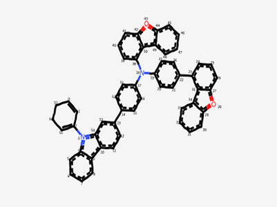 C1=CC(n2c3ccccc3c3ccc(-c4ccc(N(c5ccc(-c6cccc7oc8ccccc8c67)cc5)c5cccc6oc7ccccc7c56)cc4)cc32)=CCC1